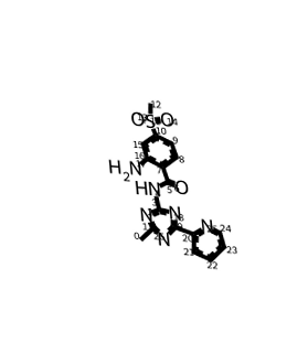 Cc1nc(NC(=O)c2ccc(S(C)(=O)=O)cc2N)nc(-c2ccccn2)n1